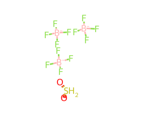 F[B-](F)(F)F.F[B-](F)(F)F.F[B-](F)(F)F.O=[SH2]=O